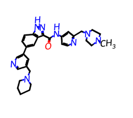 CN1CCN(Cc2cc(NC(=O)c3n[nH]c4ccc(-c5cncc(CN6CCCCC6)c5)cc34)ccn2)CC1